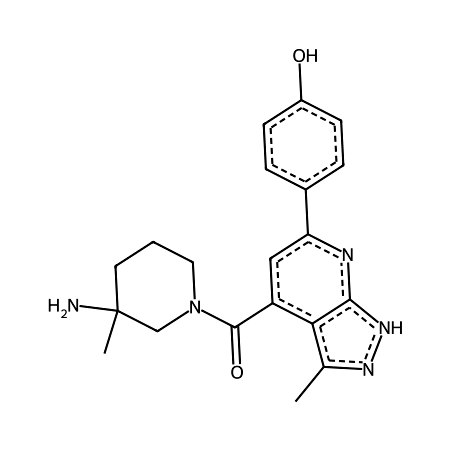 Cc1n[nH]c2nc(-c3ccc(O)cc3)cc(C(=O)N3CCCC(C)(N)C3)c12